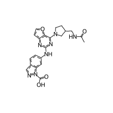 CC(=O)NCC1CCN(c2nc(Nc3ccc4cnn(C(=O)O)c4c3)nc3ccoc23)C1